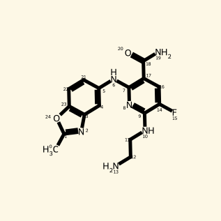 Cc1nc2cc(Nc3nc(NCCN)c(F)cc3C(N)=O)ccc2o1